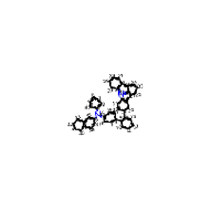 c1ccc(N(c2ccc(-c3ccccc3-c3ccc4c(c3)c3cccc5c6ccccc6n4c53)cc2)c2ccc3ccccc3c2)cc1